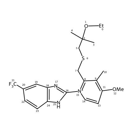 CCOC(C)(C)CSCc1c(C)c(OC)cc[n+]1-c1nc2cc(C(F)(F)F)ccc2[nH]1